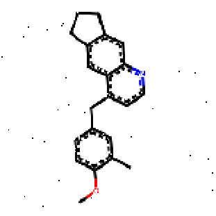 COc1ccc(Cc2ccnc3cc4c(cc23)CCC4)cc1C